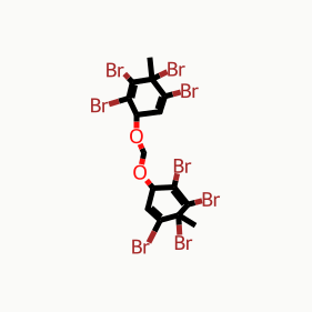 CC1(Br)C(Br)=CC(OCOC2C=C(Br)C(C)(Br)C(Br)=C2Br)C(Br)=C1Br